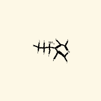 NC(I)(c1c(I)c(I)nc(I)c1I)C(I)(I)C(I)(I)I